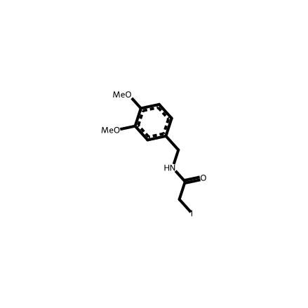 COc1ccc(CNC(=O)CI)cc1OC